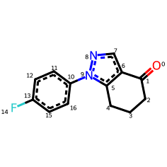 O=C1CCCc2c1cnn2-c1ccc(F)cc1